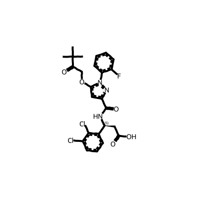 CC(C)(C)C(=O)COc1cc(C(=O)N[C@@H](CC(=O)O)c2cccc(Cl)c2Cl)nn1-c1ccccc1F